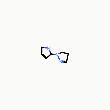 C1=CC(N2CCC=N2)NC1